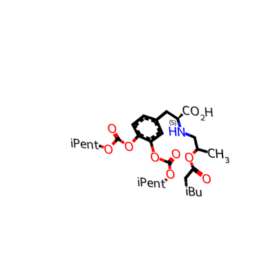 CCCC(C)OC(=O)Oc1ccc(C[C@H](NCC(C)OC(=O)CC(C)CC)C(=O)O)cc1OC(=O)OC(C)CCC